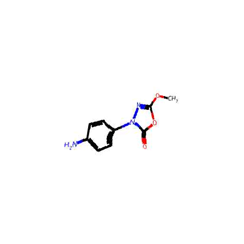 COc1nn(-c2ccc(N)cc2)c(=O)o1